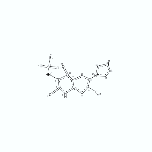 CCS(=O)(=O)Nn1c(=O)[nH]c2cc(C(F)(F)F)c(-n3cnnc3)cc2c1=O